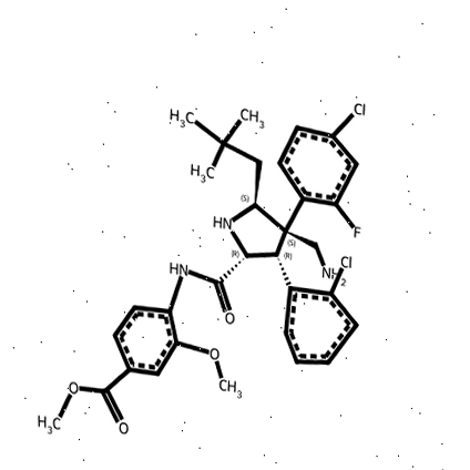 COC(=O)c1ccc(NC(=O)[C@@H]2N[C@@H](CC(C)(C)C)[C@](CN)(c3ccc(Cl)cc3F)[C@@H]2c2ccccc2Cl)c(OC)c1